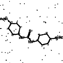 CC(=O)NC1CCC(NC(=O)NC2CCC(NC(C)=O)CC2)CC1